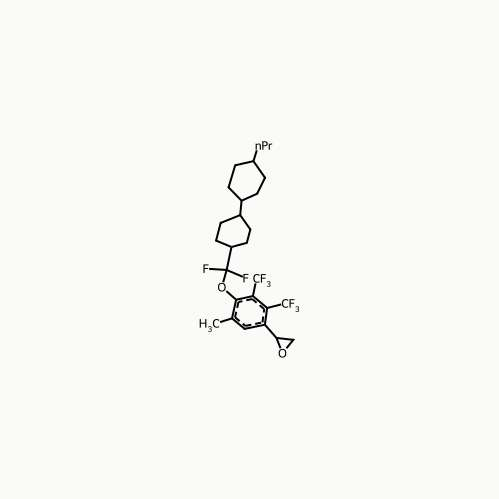 CCCC1CCC(C2CCC(C(F)(F)Oc3c(C)cc(C4CO4)c(C(F)(F)F)c3C(F)(F)F)CC2)CC1